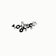 CSc1cc(C)[nH]c(=O)c1CNC(=O)c1c(C)n(C(C)C2CCC(OC3CC3)CC2)c2ccccc12